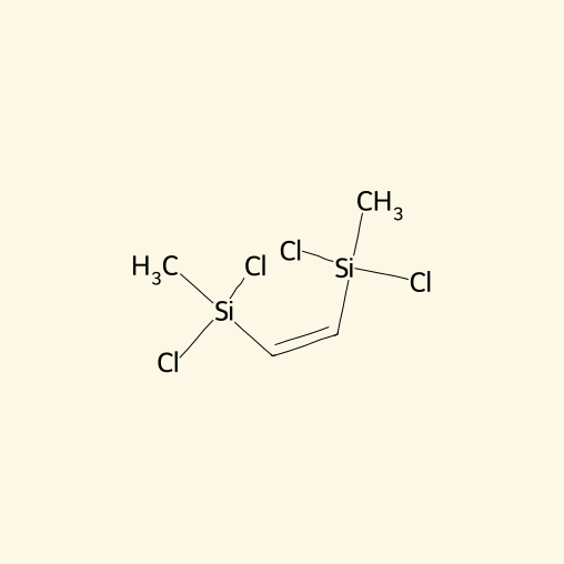 C[Si](Cl)(Cl)/C=C\[Si](C)(Cl)Cl